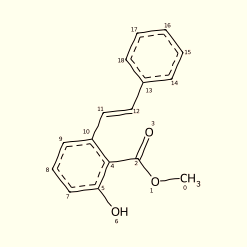 COC(=O)c1c(O)cccc1C=Cc1ccccc1